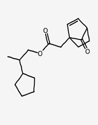 CC(COC(=O)CC12C=CC(CC1)C2=O)C1CCCC1